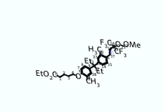 CCOC(=O)CCCCOc1ccc(C(CC)(CC)c2ccc(/C=C/C(OCOC)(C(F)(F)F)C(F)(F)F)c(C)c2)cc1C